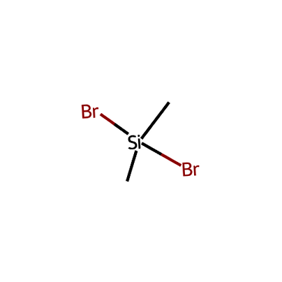 C[Si](C)(Br)Br